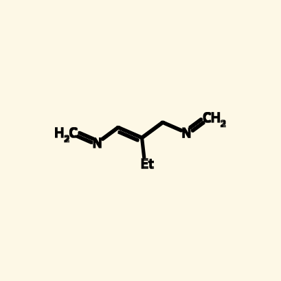 C=N/C=C(\CC)CN=C